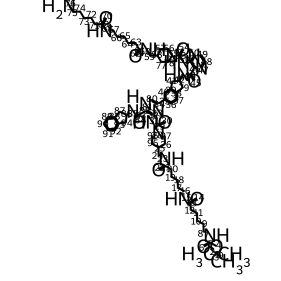 CC(C)(C)OC(=O)NCCCCCC(=O)NCCCCCC(=O)NCC1CCN(C(=O)Nc2nc(-c3ccc4c(c3)CC(NC(=O)c3nccnc3NC(=O)N3CCC(CNC(=O)CCCCCNC(=O)CCCCCN)CC3)C4)cnc2C(=O)NC2Cc3ccccc3C2)CC1